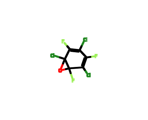 FC1=C(Cl)C2(F)OC2(Cl)C(F)=C1Cl